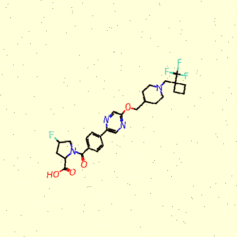 O=C(O)C1CC(F)CN1C(=O)c1ccc(-c2cnc(OCC3CCN(CC4(C(F)(F)F)CCC4)CC3)cn2)cc1